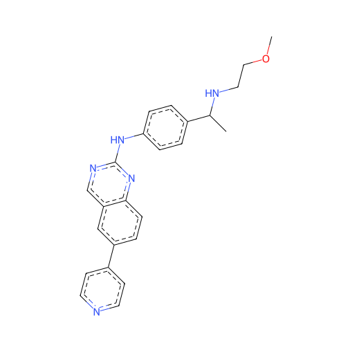 COCCNC(C)c1ccc(Nc2ncc3cc(-c4ccncc4)ccc3n2)cc1